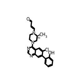 C[C@H]1CN(c2ncnc3cc(-c4ccccc4O)c(Cl)cc23)CCN1C=CC=O